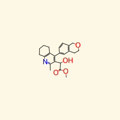 COC(=O)C(O)c1c(C)nc2c(c1-c1ccc3c(c1)CCOC3)CCCC2